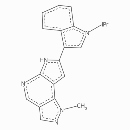 CC(C)n1cc(-c2cc3c(ncc4cnn(C)c43)[nH]2)c2ccccc21